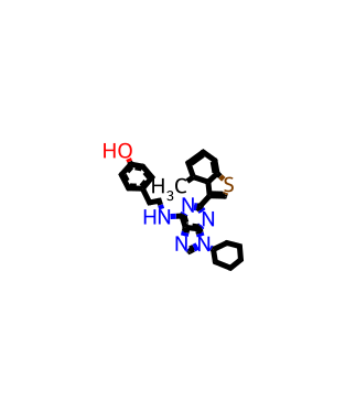 CC1C=CC=C2SC=C(c3nc(NCCc4ccc(O)cc4)c4ncn(C5CCCCC5)c4n3)C21